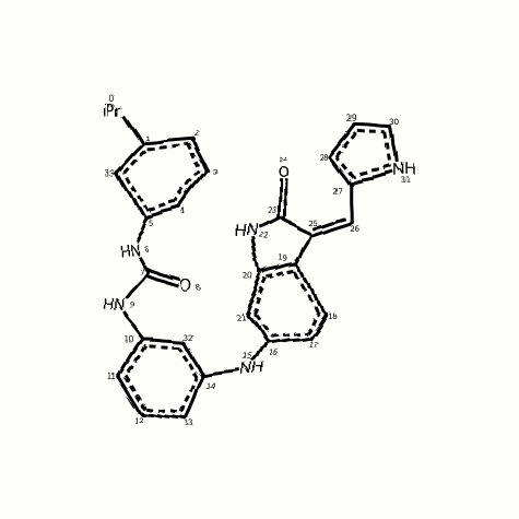 CC(C)c1cccc(NC(=O)Nc2cccc(Nc3ccc4c(c3)NC(=O)/C4=C\c3ccc[nH]3)c2)c1